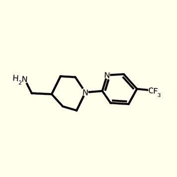 NCC1CCN(c2ccc(C(F)(F)F)cn2)CC1